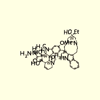 CC[C@]1(O)CC2CN(CCc3c([nH]c4ccccc34)[C@@](C)(c3cc4c(cc3OC)N(C)[C@H]3[C@@](O)(C(=O)NN)[C@H](O)C5C=CCN6CC[C@]43[C@H]56)C2)C1